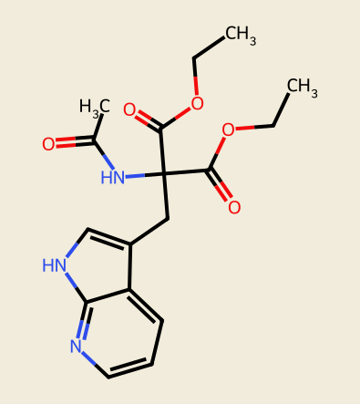 CCOC(=O)C(Cc1c[nH]c2ncccc12)(NC(C)=O)C(=O)OCC